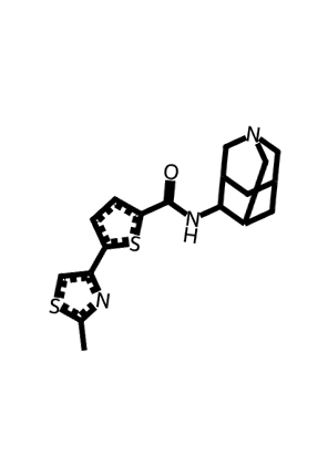 Cc1nc(-c2ccc(C(=O)NC3C4CC5CC3CN(C5)C4)s2)cs1